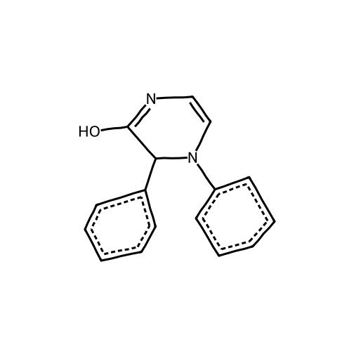 OC1=NC=CN(c2ccccc2)C1c1ccccc1